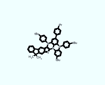 CC(C)c1ccc(-c2cc3c4c(c2)N(c2ccc(C(C)(C)C)cc2)c2c(sc5cc6c(cc25)-c2ccccc2C6(C)C)N4c2cc(C(C)(C)C)ccc2N3c2ccc(C(C)(C)C)cc2)cc1